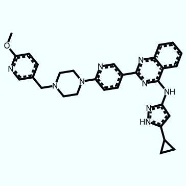 COc1ccc(CN2CCN(c3ccc(-c4nc(Nc5cc(C6CC6)[nH]n5)c5ccccc5n4)cn3)CC2)cn1